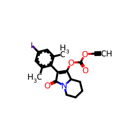 C#COC(=O)OC1=C(c2c(C)cc(I)cc2C)C(=O)N2CCCCC12